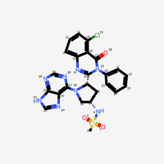 CS(=O)(=O)N[C@H]1C[C@@H](c2nc3cccc(Cl)c3c(=O)n2-c2ccccc2)N(c2ncnc3[nH]cnc23)C1